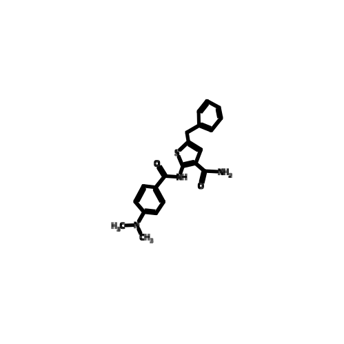 CN(C)c1ccc(C(=O)Nc2sc(Cc3ccccc3)cc2C(N)=O)cc1